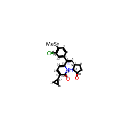 CSc1ccc(/C(=C/[C@H]2CCC(=O)C2)c2ccc(C3CC3)c(=O)[nH]2)cc1Cl